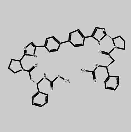 COC(=O)N[C@@H](CC(=O)N1CCCC1c1ncc(-c2ccc(-c3ccc(-c4cnc([C@@H]5CCCN5C(=O)C[C@H](NC(=O)O)c5ccccc5)[nH]4)cc3)cc2)[nH]1)c1ccccc1